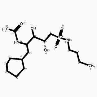 CCCCNS(=O)(=O)C[C@H](O)C(O)C(CC1CCCCC1)NC(C)=O